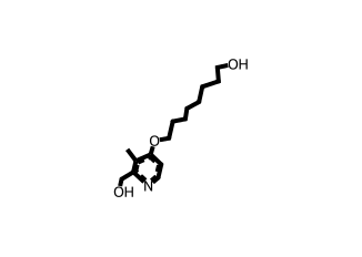 Cc1c(OCCCCCCCCO)ccnc1CO